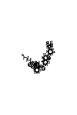 CCCCCC(=O)NS(=O)(=O)c1ccccc1NC(=O)c1ccc2nc(-c3cccc(SC(F)(F)F)c3)ccc2c1